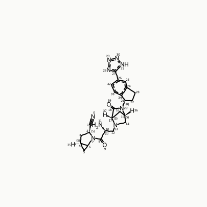 N#C[C@@H]1C[C@@H]2CC2N1C(=O)[C@@H](N)CN1C[C@@H]2C[C@H]1C(=O)N2[C@@H]1CCc2cc(-c3nnn[nH]3)ccc21